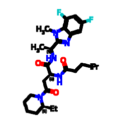 CC[C@H]1CCCCN1C(=O)C[C@H](NC(=O)CCC(C)C)C(=O)N[C@@H](C)c1nc2cc(F)cc(F)c2n1C